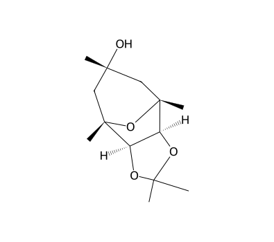 CC1(C)O[C@@H]2[C@H](O1)[C@@]1(C)C[C@@](C)(O)C[C@]2(C)O1